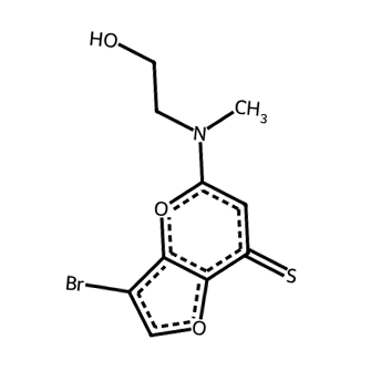 CN(CCO)c1cc(=S)c2occ(Br)c2o1